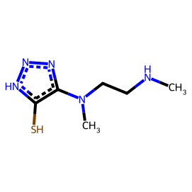 CNCCN(C)c1nn[nH]c1S